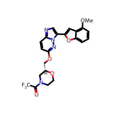 COc1cccc2oc(-c3cnc4ccc(OC[C@H]5CN(C(=O)C(F)(F)F)CCO5)nn34)cc12